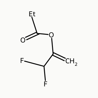 C=C(OC(=O)CC)C(F)F